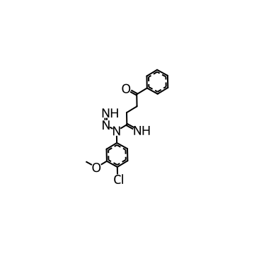 COc1cc(N(N=N)C(=N)CCC(=O)c2ccccc2)ccc1Cl